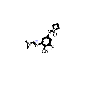 CN(C)/C=N/c1cc(N=S2(=O)CCC2)cc(F)c1C#N